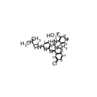 CN(C)CCNc1ccc2c(n1)N=C(c1cc(Cl)ccc1F)N(C)C2Nc1ccncc1C(=O)O